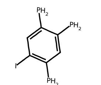 Pc1cc(P)c(I)cc1P